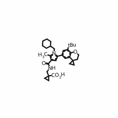 Cc1c(C(=O)NCC2(C(=O)O)CC2)cc(-c2cc(C(C)(C)C)c3c(c2)C2(CCO3)CC2)n1CC1CCCCC1